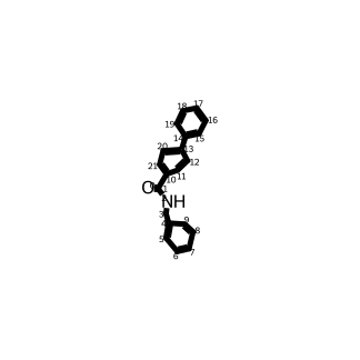 O=C(NCc1ccccc1)c1ccc(-c2ccccc2)cc1